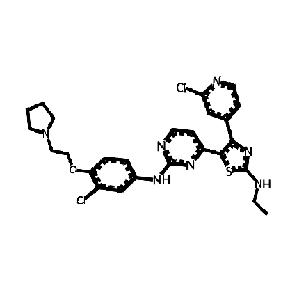 CCNc1nc(-c2ccnc(Cl)c2)c(-c2ccnc(Nc3ccc(OCCN4CCCC4)c(Cl)c3)n2)s1